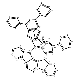 c1ccc(-c2cc(-c3ccccc3)cc(-c3cccc(-n4c5ccccc5c5ccc6c7ccccc7n(-c7nc(-c8ccccc8)nc(-c8ccccc8)n7)c6c54)c3)c2)cc1